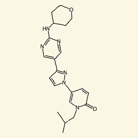 CC(C)Cn1cc(-n2ccc(-c3cnc(NC4CCOCC4)nc3)n2)ccc1=O